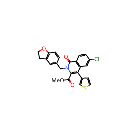 COC(=O)c1c(-c2ccsc2)c2cc(Cl)ccc2c(=O)n1Cc1ccc2c(c1)CCO2